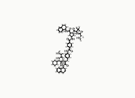 CNC(C)C(=O)N[C@H](C(=O)NC(Cc1ccc(NC(=O)c2ccc(C(=O)NC3CC(C(=O)NC4CCCc5ccccc54)N(C(=O)C(NC(=O)[C@H](C)NC)C(C)(C)C)C3)cc2)cc1)C(=O)NC1CCCc2ccccc21)C1CCCCC1